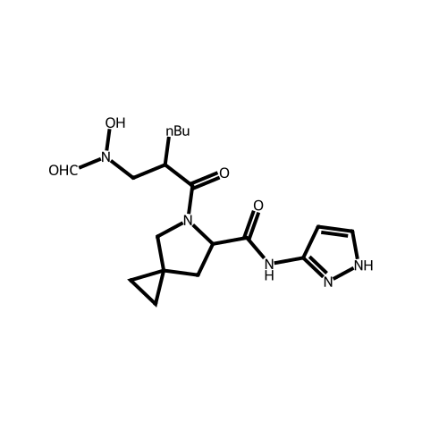 CCCCC(CN(O)C=O)C(=O)N1CC2(CC2)CC1C(=O)Nc1cc[nH]n1